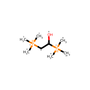 C[PH](C)(C)CC(O)[PH](C)(C)C